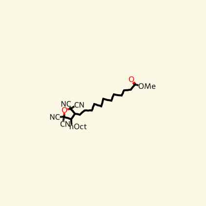 CCCCCCCCC1C(CCCCCCCCCCCC(=O)OC)C(C#N)(C#N)OC1(C#N)C#N